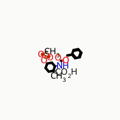 C[C@]1(C(=O)O)CC[C@@H](OS(C)(=O)=O)C[C@H]1NC(=O)OCc1ccccc1